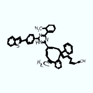 C#C/C=C\C=C/CC1(c2ccccc2)C/C=C(C2=NC(C3=CC=CCC3C)=NC(c3ccc(-c4cc5ccccc5s4)cc3)N2)\C=C/C(=C)c2ccccc21